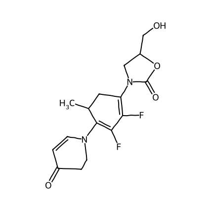 CC1CC(N2CC(CO)OC2=O)=C(F)C(F)=C1N1C=CC(=O)CC1